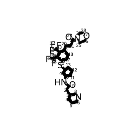 O=C(Cc1cccnc1)Nc1cccc(Sc2ccc(C=CC(=O)N3CCOCC3)c(C(F)(F)F)c2C(F)(F)F)c1